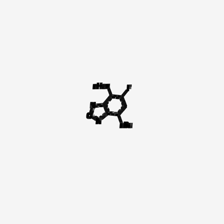 CCCCCCc1c(F)cc(CCCC)c2nonc12